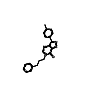 Cc1ccc(-c2nsc3c(=O)n(CCCc4ccccc4)cnc23)cc1